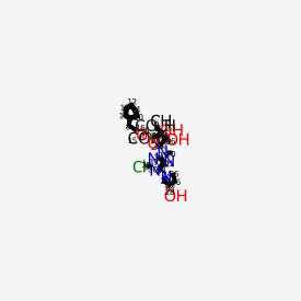 C#C[C@@]1(O)[C@@H](COC(Cc2ccccc2)(C(=O)O)C(=O)O)O[C@@H](n2cnc3c(N4CC[C@@H](O)C4)nc(Cl)nc32)[C@@H]1O